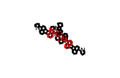 c1ccc(-n2c3ccccc3c3ccc4c5ccccc5n(-c5ccc6c7c(cccc57)C57c8cccc9c(-c%10ccccn%10)ccc(c89)C65c5ccc(-c6ccc(-c8cccc9c8c8ccccc8n9-c8ccc9c%10c(cccc8%10)C8%10c%11cccc%12c(-c%13ccccn%13)ccc(c%11%12)C98c8ccc(-c9ccccn9)c9cccc%10c89)cn6)c6cccc7c56)c4c32)cc1